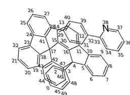 c1ccc(C23c4ccccc4-c4cccc(c42)C2(c4ccccc4-c4cccc(-c5ccc(-c6ccccn6)cc5)c42)c2ccccc23)cc1